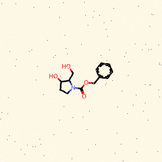 O=C(OCc1ccccc1)N1CCC(O)C1CO